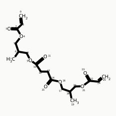 C=CC(=O)OCC(C)COC(=O)CCC(=O)OCC(C)COC(=O)C=C